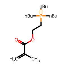 C=C(C)C(=O)OCC[PH](CCCC)(CCCC)CCCC